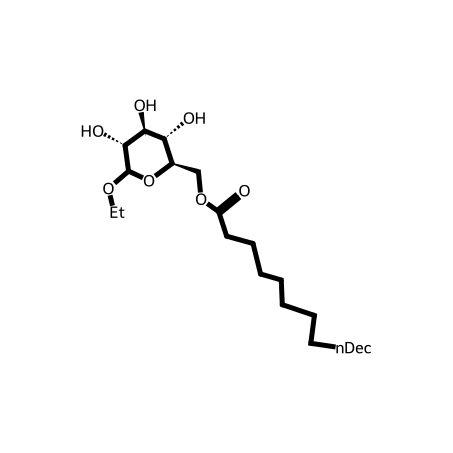 CCCCCCCCCCCCCCCCCC(=O)OC[C@H]1OC(OCC)[C@H](O)[C@@H](O)[C@@H]1O